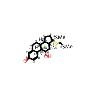 CSCS[C@]1(SC)CC[C@H]2[C@@H]3CCC4=CC(=O)C=C[C@]4(C)C3(F)[C@@H](O)C[C@@]21C